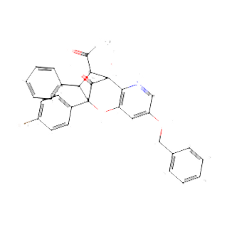 COC(=O)C1C(c2ccccc2)C2(c3ccc(Br)cc3)Oc3cc(OCc4ccccc4)cnc3[C@@]1(O)C2=O